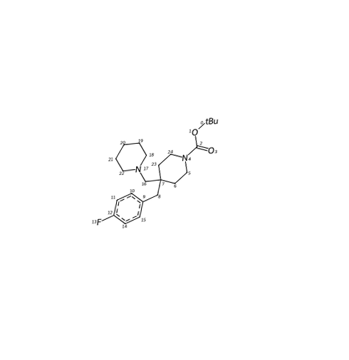 CC(C)(C)OC(=O)N1CCC(Cc2ccc(F)cc2)(CN2CCCCC2)CC1